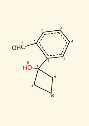 O=Cc1ccccc1C1(O)CCC1